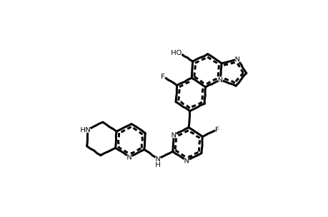 Oc1cc2nccn2c2cc(-c3nc(Nc4ccc5c(n4)CCNC5)ncc3F)cc(F)c12